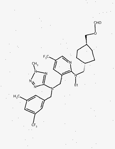 CCN(C[C@H]1CC[C@H](COC=O)CC1)c1ncc(C(F)(F)F)cc1CN(Cc1cc(C)cc(C(F)(F)F)c1)c1nnn(C)n1